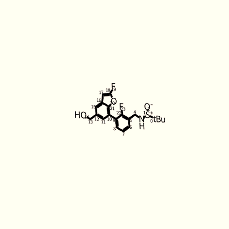 CC(C)(C)[S+]([O-])NCc1cccc(-c2cc(CO)cc3cc(F)oc23)c1F